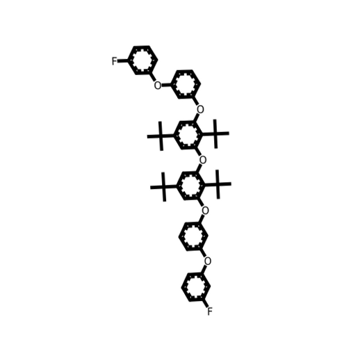 CC(C)(C)c1cc(Oc2cccc(Oc3cccc(F)c3)c2)c(C(C)(C)C)c(Oc2cc(C(C)(C)C)cc(Oc3cccc(Oc4cccc(F)c4)c3)c2C(C)(C)C)c1